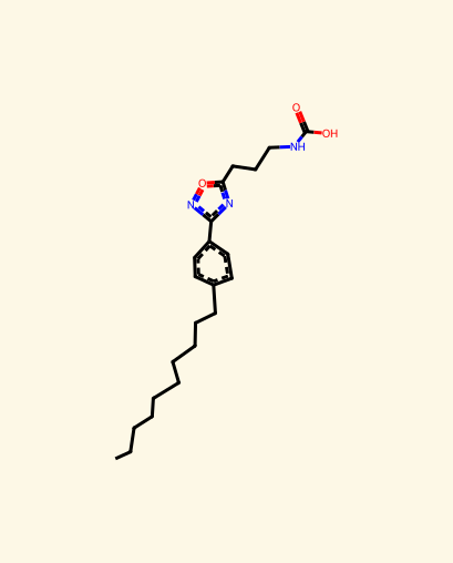 CCCCCCCCCCc1ccc(-c2noc(CCCNC(=O)O)n2)cc1